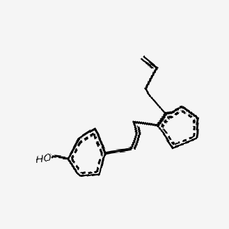 C=CCc1ccccc1C=Cc1ccc(O)cc1